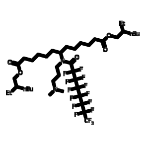 CCCCC(CC)COC(=O)CCCCCC(CCCCCC(=O)OCC(CC)CCCC)N(CCCN(C)C)C(=O)C(F)(F)C(F)(F)C(F)(F)C(F)(F)C(F)(F)C(F)(F)C(F)(F)F